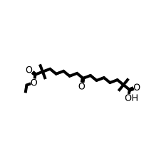 CCOC(=O)C(C)(C)CCCCCC(=O)CCCCCC(C)(C)C(=O)O